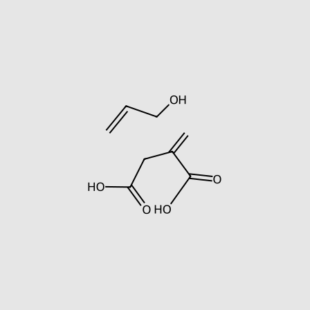 C=C(CC(=O)O)C(=O)O.C=CCO